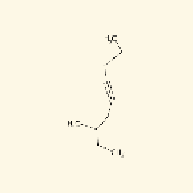 [CH2]CC(C)CC#CCCC